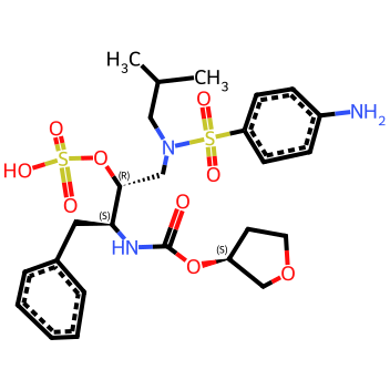 CC(C)CN(C[C@@H](OS(=O)(=O)O)[C@H](Cc1ccccc1)NC(=O)O[C@H]1CCOC1)S(=O)(=O)c1ccc(N)cc1